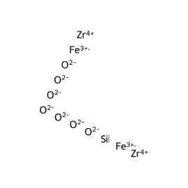 [Fe+3].[Fe+3].[O-2].[O-2].[O-2].[O-2].[O-2].[O-2].[O-2].[Si].[Zr+4].[Zr+4]